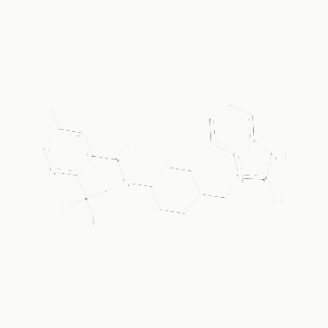 O=C(NC1CCC(Cn2c(=O)[nH]c3ccccc32)CC1)c1cc(Cl)cnc1C(F)(F)F